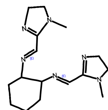 CN1CCN=C1/C=N/C1CCCCC1/N=C/C1=NCCN1C